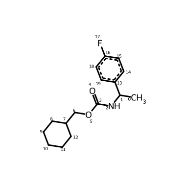 CC(NC(=O)OCC1CCCCC1)c1ccc(F)cc1